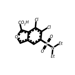 CCN(CC)S(=O)(=O)c1cc2coc(C(=O)O)c2c(Cl)c1Cl